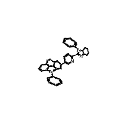 c1ccc(-n2c(-c3ccc(-c4cc5ccc6cccc7c6c5c(c4)n7-c4ccccc4)cn3)nc3ccccc32)cc1